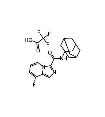 O=C(NC12CC3CC(CC(C3)C1)C2)c1ncc2c(F)cccn12.O=C(O)C(F)(F)F